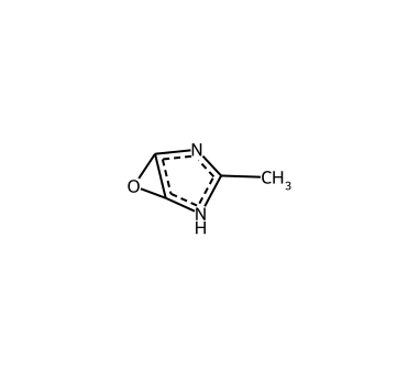 Cc1nc2c([nH]1)O2